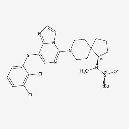 CN([C@@H]1CCCC12CCN(c1ncc(Sc3cccc(Cl)c3Cl)c3nccn13)CC2)[S@@+]([O-])C(C)(C)C